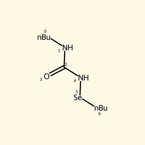 CCCCNC(=O)N[Se]CCCC